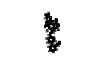 C[C@H]1OC(=O)[C@]2(CC(=O)OC(C)(C)C)CC(F)(F)[C@@H](C)[C@H](C=Cc3ccc(-c4ccccc4C#N)cn3)[C@H]12